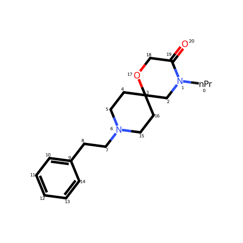 CCCN1CC2(CCN(CCc3ccccc3)CC2)OCC1=O